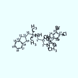 CN(CC(O)CNC(C)(C)CC1Cc2ccccc2C1)S(=O)(=O)c1cc(Br)c(Cl)s1